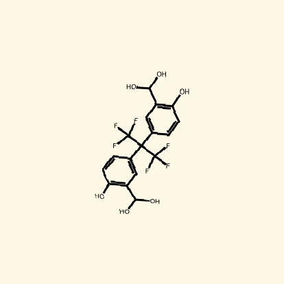 Oc1ccc(C(c2ccc(O)c(C(O)O)c2)(C(F)(F)F)C(F)(F)F)cc1C(O)O